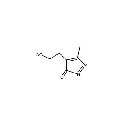 CC1=C(CCC#N)C(=O)N=N1